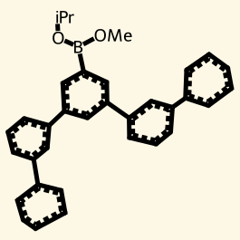 COB(OC(C)C)c1cc(-c2cccc(-c3ccccc3)c2)cc(-c2cccc(-c3ccccc3)c2)c1